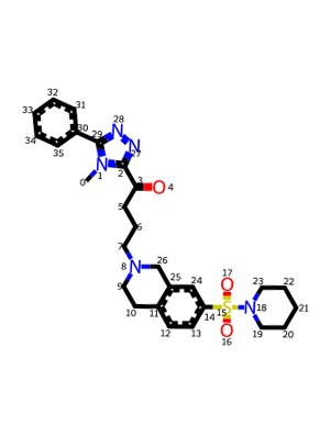 Cn1c(C(=O)CCCN2CCc3ccc(S(=O)(=O)N4CCCCC4)cc3C2)nnc1-c1ccccc1